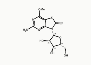 C=C1Sc2c(OC)nc(N)nc2N1[C@@H]1O[C@H](CO)[C@@H](O)[C@H]1O